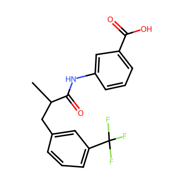 CC(Cc1cccc(C(F)(F)F)c1)C(=O)Nc1cccc(C(=O)O)c1